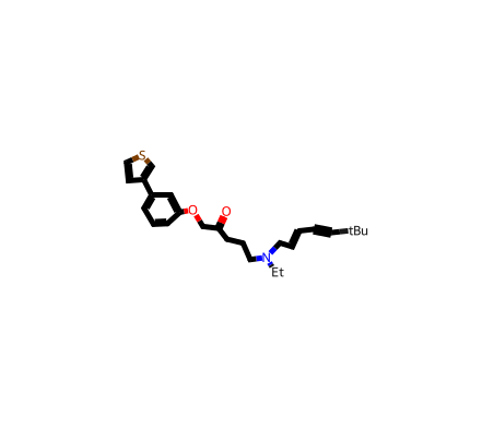 CCN(C/C=C/C#CC(C)(C)C)CCCC(=O)COc1cccc(-c2ccsc2)c1